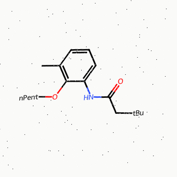 CCCCCOc1c(C)cccc1NC(=O)CC(C)(C)C